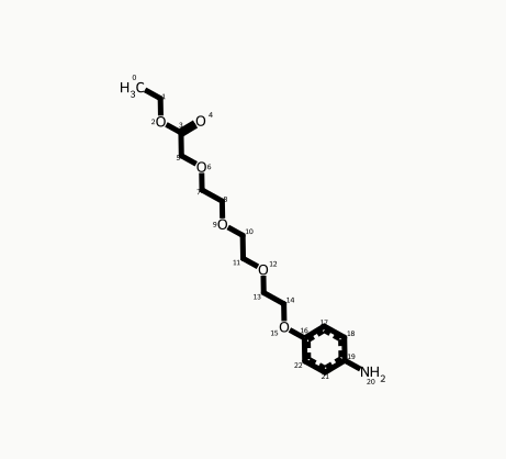 CCOC(=O)COCCOCCOCCOc1ccc(N)cc1